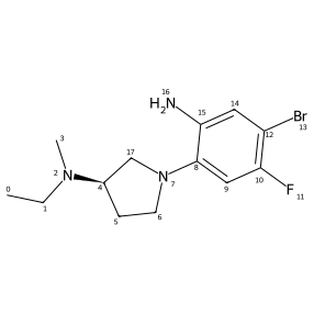 CCN(C)[C@@H]1CCN(c2cc(F)c(Br)cc2N)C1